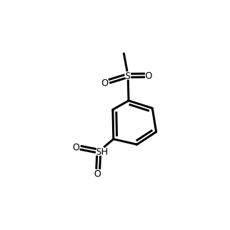 CS(=O)(=O)c1cccc([SH](=O)=O)c1